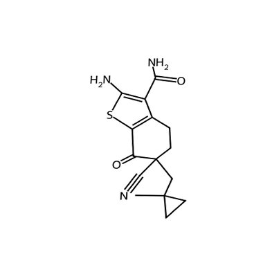 CC1(CC2(C#N)CCc3c(sc(N)c3C(N)=O)C2=O)CC1